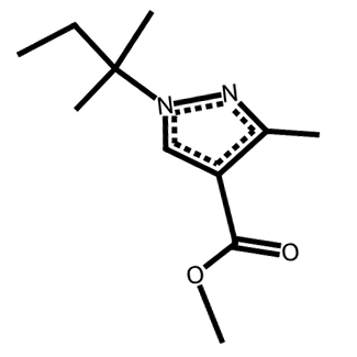 CCC(C)(C)n1cc(C(=O)OC)c(C)n1